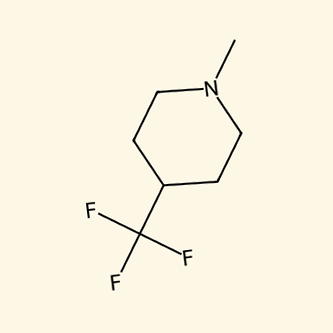 CN1CCC(C(F)(F)F)CC1